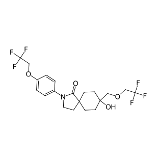 O=C1N(c2ccc(OCC(F)(F)F)cc2)CCC12CCC(O)(COCC(F)(F)F)CC2